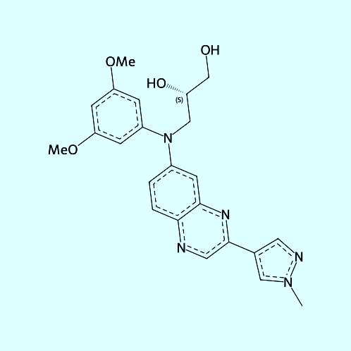 COc1cc(OC)cc(N(C[C@H](O)CO)c2ccc3ncc(-c4cnn(C)c4)nc3c2)c1